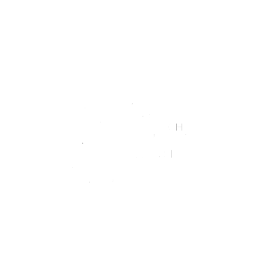 C=P1(Cl)Oc2ccccc2-c2ccccc2O1